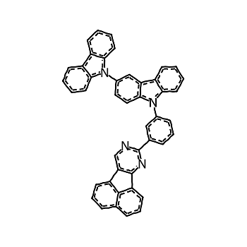 c1cc(-c2ncc3c(n2)-c2cccc4cccc-3c24)cc(-n2c3ccccc3c3cc(-n4c5ccccc5c5ccccc54)ccc32)c1